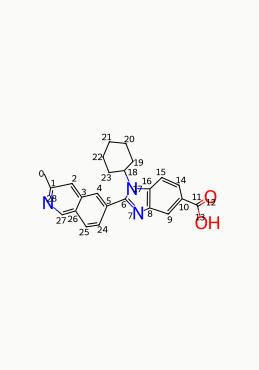 Cc1cc2cc(-c3nc4cc(C(=O)O)ccc4n3C3CCCCC3)ccc2cn1